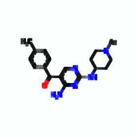 CC(=O)N1CCC(Nc2ncc(C(=O)c3ccc(C)cc3)c(N)n2)CC1